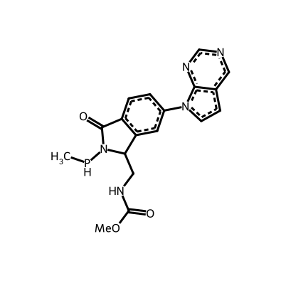 COC(=O)NCC1c2cc(-n3ccc4cncnc43)ccc2C(=O)N1PC